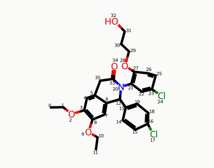 CCOc1cc2c(cc1OCC)C(c1ccc(Cl)cc1)N(c1cc(Cl)ccc1OCCCO)C(=O)C2